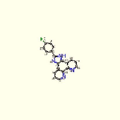 Fc1ccc(-c2nc3c4cccnc4c4ncccc4c3[nH]2)cc1